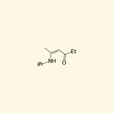 CCC(=O)C=C(C)NC(C)C